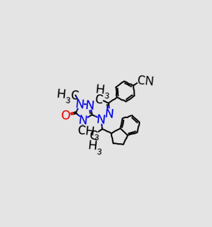 C/C(=N\N(c1nn(C)c(=O)n1C)C(C)C1CCc2ccccc21)c1ccc(C#N)cc1